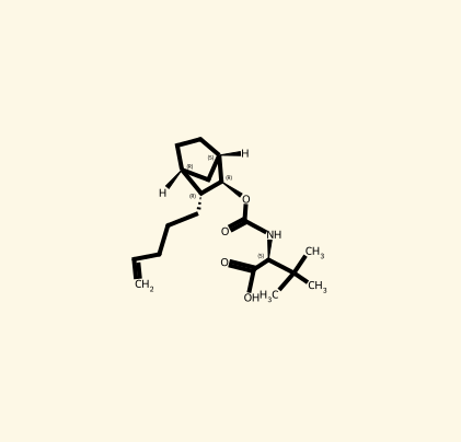 C=CCCC[C@@H]1[C@@H]2CC[C@@H](C2)[C@H]1OC(=O)N[C@H](C(=O)O)C(C)(C)C